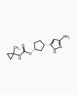 CC1(NC(=O)O[C@@H]2CC[C@H](c3cc(N)n[nH]3)C2)CC1